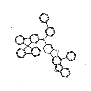 C1=C2Oc3c(cc4oc5ccccc5c4c3-c3ccccc3)C2CCC1N(c1cccc(-c2ccccc2)c1)c1ccc2c(c1)C1(c3ccccc3-c3ccccc31)c1ccccc1-2